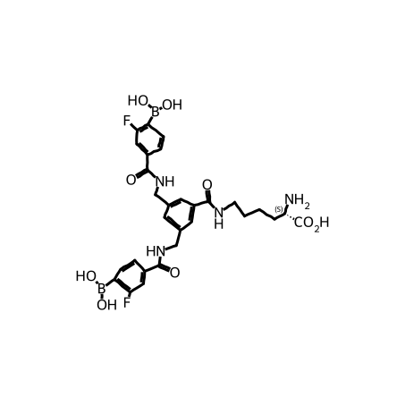 N[C@@H](CCCCNC(=O)c1cc(CNC(=O)c2ccc(B(O)O)c(F)c2)cc(CNC(=O)c2ccc(B(O)O)c(F)c2)c1)C(=O)O